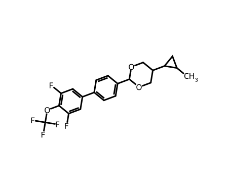 CC1CC1C1COC(c2ccc(-c3cc(F)c(OC(F)(F)F)c(F)c3)cc2)OC1